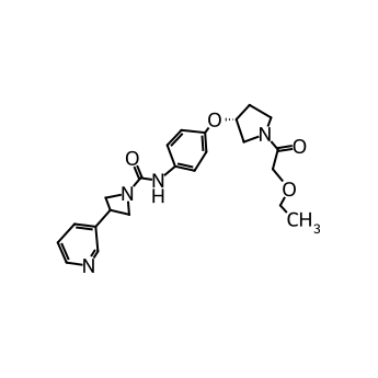 CCOCC(=O)N1CC[C@@H](Oc2ccc(NC(=O)N3CC(c4cccnc4)C3)cc2)C1